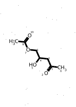 CC(=O)CC(O)COC(C)=O